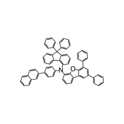 c1ccc(-c2cc(-c3ccccc3)c3oc4c(N(c5ccc(-c6ccc7ccccc7c6)cc5)c5cccc6c5-c5ccccc5C6(c5ccccc5)c5ccccc5)cccc4c3c2)cc1